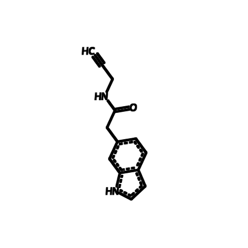 C#CCNC(=O)Cc1ccc2cc[nH]c2c1